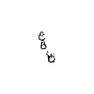 c1ccc(CC[C@@H]2CCN(C3CCOCC3)C2)nc1